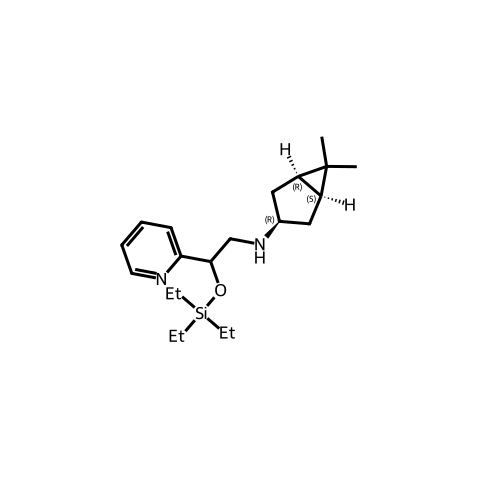 CC[Si](CC)(CC)OC(CN[C@H]1C[C@@H]2[C@H](C1)C2(C)C)c1ccccn1